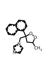 CC1CC(Cn2ccnc2)(c2cccc3ccccc23)OO1